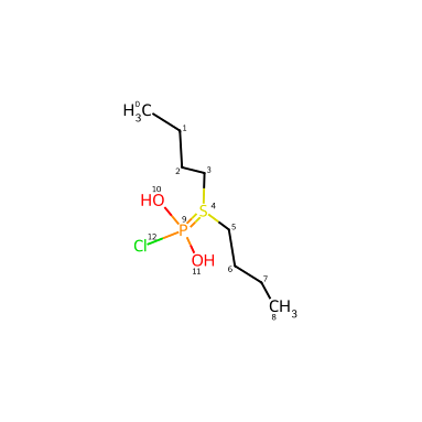 CCCCS(CCCC)=P(O)(O)Cl